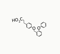 O=C(O)CCc1ccc(OCc2ccccc2Oc2ccccc2)cc1